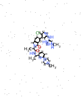 CN/C=C(\NN)Nc1cc(-c2ccc3c(c2)C(=O)N([C@H](C)C(=O)N[C@H](C)c2cccc(N4CCN(C)CC4)n2)C3)c(Cl)cn1